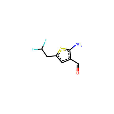 Nc1sc(CC(F)F)cc1C=O